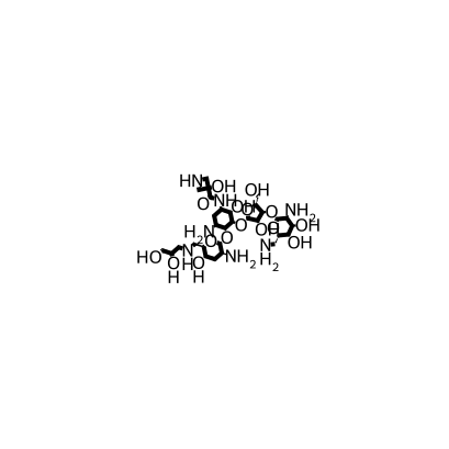 NC[C@@H]1O[C@H](O[C@H]2[C@@H](O)[C@H](O[C@@H]3[C@@H](O)[C@H](NC(=O)C4(O)CNC4)C[C@H](N)[C@H]3O[C@H]3O[C@H](CNCC(O)CO)[C@@H](O)C[C@H]3N)O[C@@H]2CO)[C@H](N)[C@@H](O)[C@@H]1O